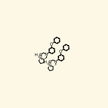 CCN(C[C@@H]1CCCN1)c1cccc(Oc2ccccc2)c1.CCN(C[C@H]1CCCN1)c1cccc(Oc2ccccc2)c1